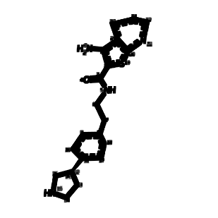 Nc1c(C(=O)NCCc2ccc([C@H]3CCNC3)cc2)sc2ncccc12